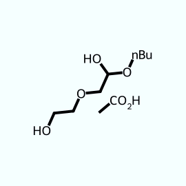 CC(=O)O.CCCCOC(O)COCCO